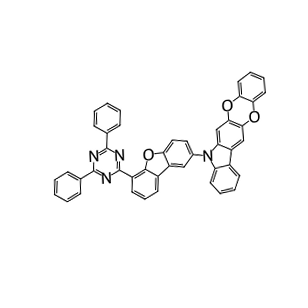 c1ccc(-c2nc(-c3ccccc3)nc(-c3cccc4c3oc3ccc(-n5c6ccccc6c6cc7c(cc65)Oc5ccccc5O7)cc34)n2)cc1